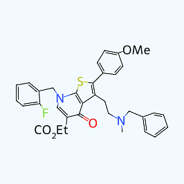 CCOC(=O)c1cn(Cc2ccccc2F)c2sc(-c3ccc(OC)cc3)c(CCN(C)Cc3ccccc3)c2c1=O